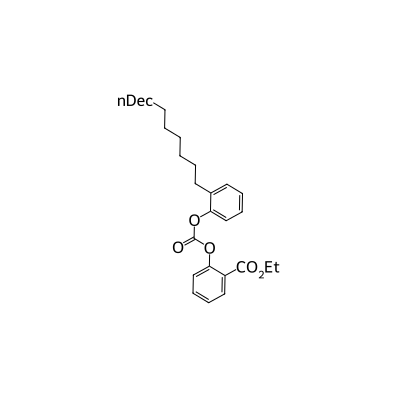 CCCCCCCCCCCCCCCCc1ccccc1OC(=O)Oc1ccccc1C(=O)OCC